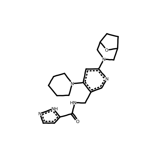 O=C(NCc1cnc(N2CC3CCC(C2)O3)cc1N1CCCCC1)c1ccn[nH]1